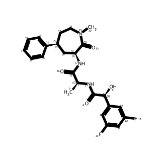 C[C@H](NC(=O)[C@@H](O)c1cc(F)cc(F)c1)C(=O)N[C@H]1C[C@@H](c2ccccc2)CCN(C)C1=O